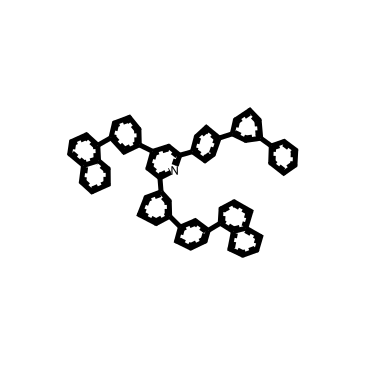 c1ccc(-c2cccc(-c3ccc(-c4cc(-c5cccc(-c6cccc7ccccc67)c5)cc(-c5cccc(-c6cccc(-c7cccc8ccccc78)c6)c5)n4)cc3)c2)cc1